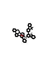 CC1(C)c2ccccc2-c2ccc(-c3cc(-n4c5ccccc5c5cc(-c6cccc7c6C(C6C=CC=CC6)CCc6ccccc6-7)ccc54)cc4c3sc3ccccc34)cc21